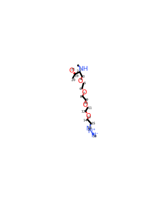 CNC(COCCOCCOCCOCCN=[N+]=[N-])C(C)=O